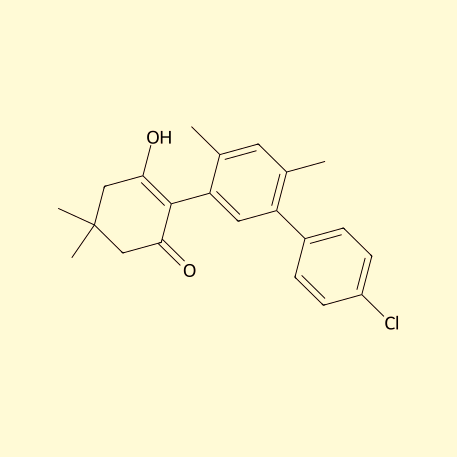 Cc1cc(C)c(-c2ccc(Cl)cc2)cc1C1=C(O)CC(C)(C)CC1=O